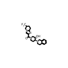 O=C(c1cn2c(n1)CCC(C(F)(F)F)C2)N1CC[C@H](N2CCc3ccccc3C2)[C@@H](O)C1